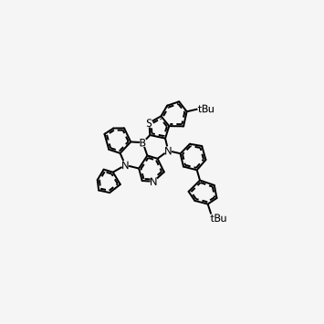 CC(C)(C)c1ccc(-c2cccc(N3c4cncc5c4B(c4ccccc4N5c4ccccc4)c4sc5ccc(C(C)(C)C)cc5c43)c2)cc1